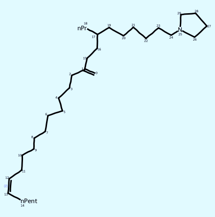 C=C(CCCCCCCCCC/C=C\CCCCC)CCC(CCC)CCCCCCN1CCCC1